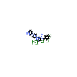 C[C@@H](Nc1nc(N2CCN(C3CCCNC3)CC2)ncc1Cl)c1ccc(Cl)cc1Cl.Cl.Cl